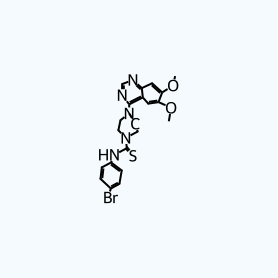 COc1cc2ncnc(N3CCN(C(=S)Nc4ccc(Br)cc4)CC3)c2cc1OC